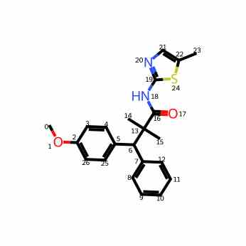 COc1ccc(C(c2ccccc2)C(C)(C)C(=O)Nc2ncc(C)s2)cc1